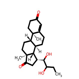 CCC(O)C(O)[C@@H]1CC(=O)[C@@]2(C)CC[C@H]3[C@@H](CCC4=CC(=O)CC[C@@]43C)[C@H]12